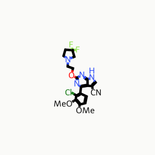 COc1ccc(-c2nc(OCCN3CCC(F)(F)C3)nc3[nH]cc(C#N)c23)c(Cl)c1OC